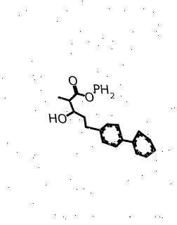 CC(C(=O)OP)C(O)CCc1ccc(-c2ccccc2)cc1